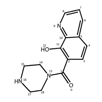 O=C(c1ccc2cccnc2c1O)N1CCNCC1